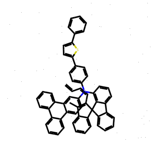 C=C/C=C\C1=C(C)c2ccccc2C12c1ccccc1-c1cccc(N(c3ccc(-c4ccc(-c5ccccc5)s4)cc3)c3ccc4c5ccccc5c5ccccc5c4c3)c12